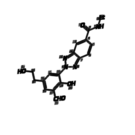 CCNC(=O)c1ccc2nn(-c3cc(CCO)cc(C=O)c3O)nc2c1